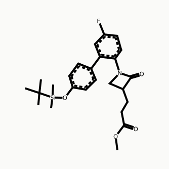 COC(=O)CCC1CN(c2ccc(F)cc2-c2ccc(O[Si](C)(C)C(C)(C)C)cc2)C1=O